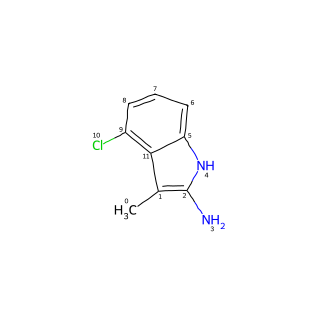 Cc1c(N)[nH]c2cccc(Cl)c12